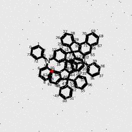 c1ccc(N(c2ccccc2)c2ccc3c(c2)-c2ccccc2C32c3ccccc3-c3c2c(N(c2ccccc2)c2ccc4c(c2)C(c2ccccc2)(c2ccccc2)c2ccccc2-4)cc2ccccc32)cc1